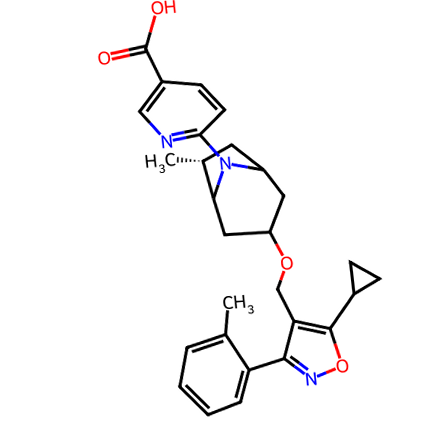 Cc1ccccc1-c1noc(C2CC2)c1COC1CC2C[C@@H](C)C(C1)N2c1ccc(C(=O)O)cn1